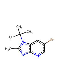 Cc1nc2ncc(Br)cc2n1C(C)(C)C